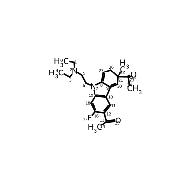 CCN(CC)CCn1c2c(c3cc(C(C)=O)c(F)cc31)=CC(C)(C(C)=O)CC=2